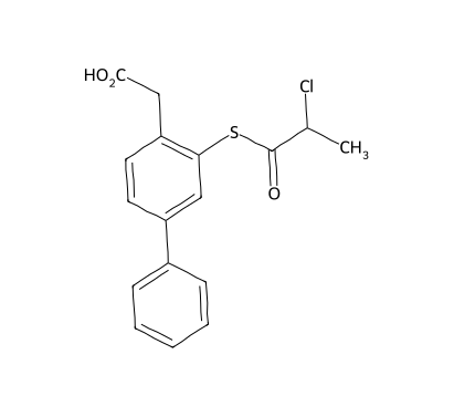 CC(Cl)C(=O)Sc1cc(-c2ccccc2)ccc1CC(=O)O